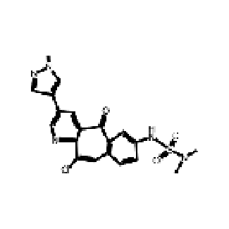 CN(C)S(=O)(=O)Nc1ccc2cc(Cl)c3ncc(-c4cnn(C)c4)cc3c(=O)c2c1